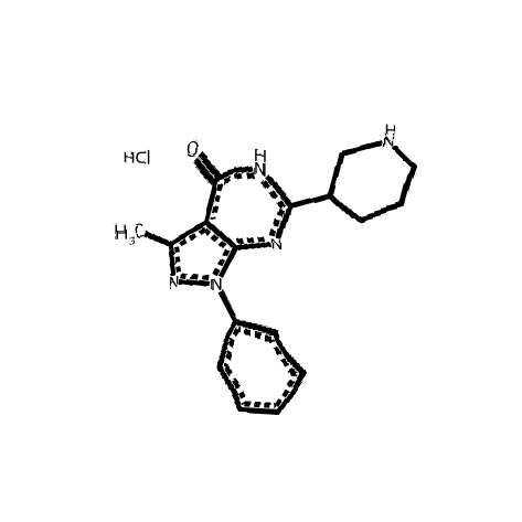 Cc1nn(-c2ccccc2)c2nc(C3CCCNC3)[nH]c(=O)c12.Cl